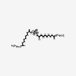 CCCCCC(C)CCCCCCCC(C)COS(=O)(=O)OCC(C)CCCCCCCC(C)CCCCC